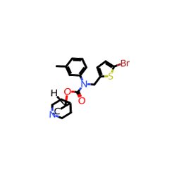 Cc1cccc(N(Cc2ccc(Br)s2)C(=O)O[C@H]2CN3CCC2CC3)c1